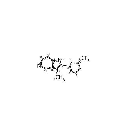 Cn1c(-c2cccc(C(F)(F)F)c2)nc2ccncc21